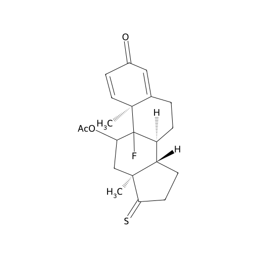 CC(=O)OC1C[C@]2(C)C(=S)CC[C@H]2[C@@H]2CCC3=CC(=O)C=C[C@]3(C)C12F